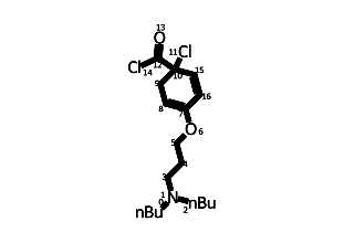 CCCCN(CCCC)CCCOC1=CCC(Cl)(C(=O)Cl)C=C1